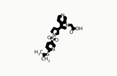 CC(C)Sc1ccc(S(=O)(=O)N2CCC(c3cn(CC(=O)O)c4cnccc34)C2)cn1